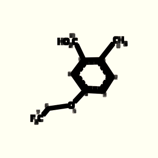 Cc1ccc(OCC(F)(F)F)cc1C(=O)O